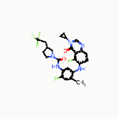 Cc1cc(F)c(NC(=O)N2CCC(CC(F)(F)F)C2)cc1Nc1ccc2ncn(C3CC3)c(=O)c2c1F